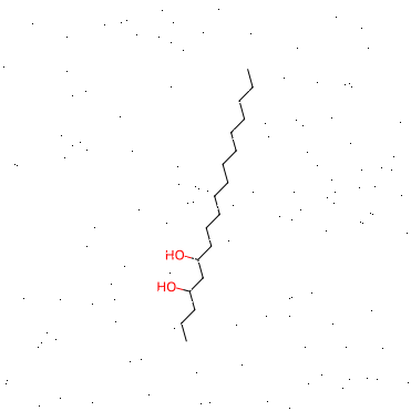 CCCCCCCCCCCCC(O)CC(O)CCC